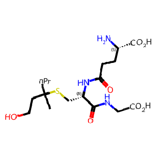 CCCC(C)(CCO)SC[C@H](NC(=O)CC[C@H](N)C(=O)O)C(=O)NCC(=O)O